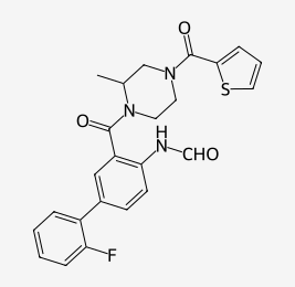 CC1CN(C(=O)c2cccs2)CCN1C(=O)c1cc(-c2ccccc2F)ccc1NC=O